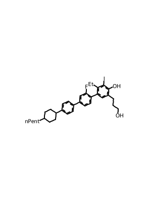 CCCCCC1CCC(c2ccc(-c3ccc(-c4cc(CCCO)c(O)c(I)c4CC)c(F)c3)cc2)CC1